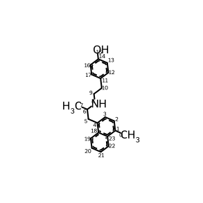 Cc1ccc(CC(C)NCCc2ccc(O)cc2)c2ccccc12